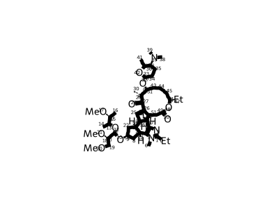 CCc1nc2c(n1C)[C@@H]1C[C@@H](OC(OC(C)[C@@H](C)OC)[C@H](COC)OC)C[C@H]1[C@@H]1C=C3C(=O)[C@H](C)[C@@H](O[C@H]4CC[C@H](N(C)C)C(C)O4)CCC[C@H](CC)OC(=O)C[C@H]3[C@H]21